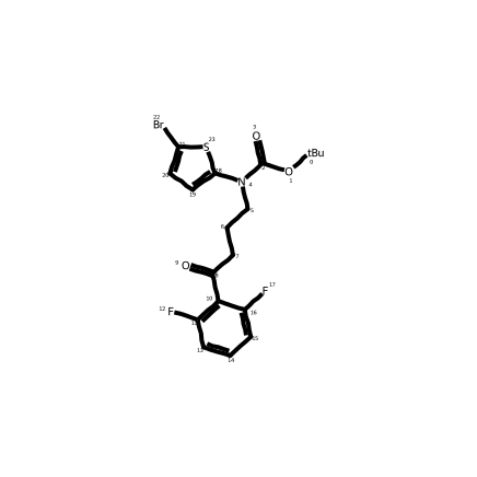 CC(C)(C)OC(=O)N(CCCC(=O)c1c(F)cccc1F)c1ccc(Br)s1